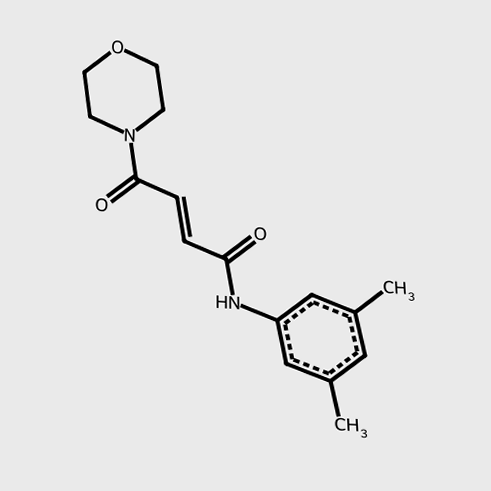 Cc1cc(C)cc(NC(=O)C=CC(=O)N2CCOCC2)c1